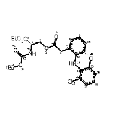 CCOC(=O)[C@H](COC(=O)Cc1ccccc1Nc1c(Cl)cccc1Cl)NC(=O)OC(C)(C)C